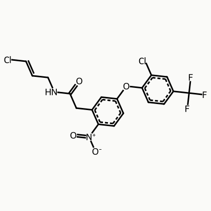 O=C(Cc1cc(Oc2ccc(C(F)(F)F)cc2Cl)ccc1[N+](=O)[O-])NCC=CCl